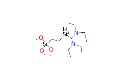 CCN(CC)C([SiH2]CC[Si](OC)(OC)OC)N(CC)CC